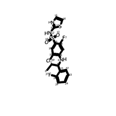 CCC(Nc1cc(F)c(S(=O)(=O)Nc2nccs2)cc1Cl)c1ccccc1F